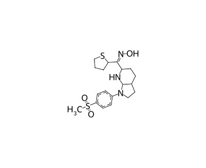 CS(=O)(=O)c1ccc(N2CCC3CCC(/C(=N\O)C4CCCS4)NC32)cc1